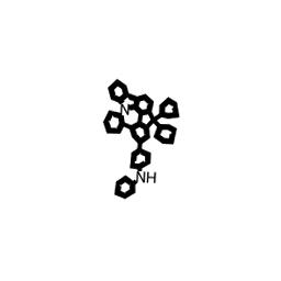 c1ccc(Nc2ccc(-c3cc4c5c(c3)C(c3ccccc3)(c3ccccc3)c3ccc6c7ccccc7n(c6c3-5)-c3ccccc3-4)cc2)cc1